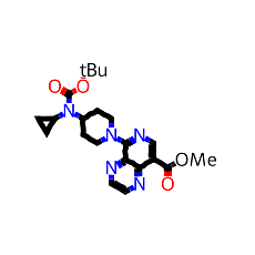 COC(=O)c1cnc(N2CCC(N(C(=O)OC(C)(C)C)C3CC3)CC2)c2nccnc12